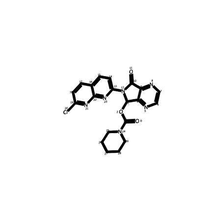 O=C(OC1c2nccnc2C(=O)N1c1ccc2ccc(Cl)nc2n1)N1CCCCC1